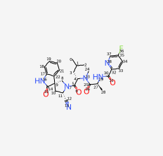 CC(C)C[C@@H](C(=O)N1C[C@]2(C[C@H]1C#N)C(=O)Nc1ccccc12)N(C)C(=O)[C@H](C)NC(=O)c1ccc(F)cn1